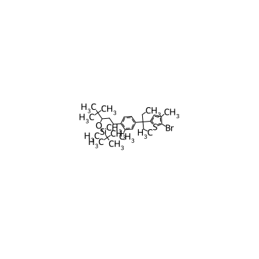 CCC(CC)(c1ccc(CCC(O[Si](C)(C)C(C)(C)C)C(C)(C)C)c(C)c1)c1cc(C)c(Br)s1